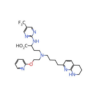 O=C(O)C(CCN(CCCCc1ccc2c(n1)NCCC2)CCOc1ccccn1)Nc1ncc(C(F)(F)F)cn1